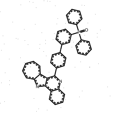 O=P(c1ccccc1)(c1ccccc1)c1cccc(-c2ccc(-c3nc4ccccc4c4nc5cccccc-5c34)cc2)c1